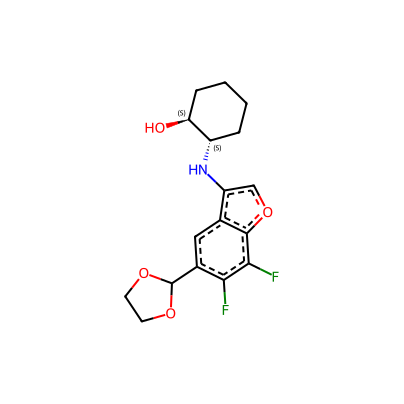 O[C@H]1CCCC[C@@H]1Nc1coc2c(F)c(F)c(C3OCCO3)cc12